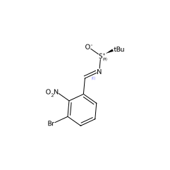 CC(C)(C)[S@+]([O-])/N=C/c1cccc(Br)c1[N+](=O)[O-]